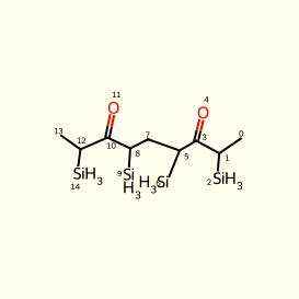 CC([SiH3])C(=O)C([SiH3])CC([SiH3])C(=O)C(C)[SiH3]